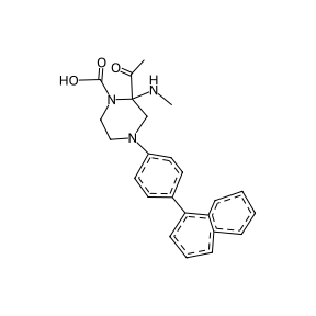 CNC1(C(C)=O)CN(c2ccc(-c3cccc4ccccc34)cc2)CCN1C(=O)O